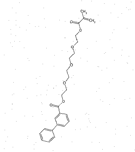 C=C(C)C(=O)OCCOCCOCCOCCOC(=O)c1cccc(-c2ccccc2)c1